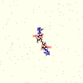 CCC1(CCCCC2(CC(C)C)OC(=O)C(N=Nc3nncn3C)=C(O)O2)OC(=O)C(N=Nc2nncn2C)=C(O)O1